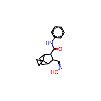 O=C(Nc1ccccc1)C1C(/C=N\O)C2CCC1C21CC1